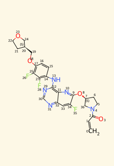 C=CC(=O)N1CC[C@H](Oc2nc3c(Nc4ccc(OC[C@H]5CCOC5)c(F)c4F)ncnc3cc2F)C1